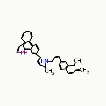 C=C/C=C\c1ccc(/C=C\CNC(=C)/C=C\Cc2ccc3c4c(c5cc[pH]c5c3c2)C=CCC=C4)cc1CC